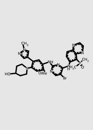 COc1cc(N2CCC(O)CC2)c(-c2cnn(C)c2)cc1Nc1ncc(Br)c(Nc2ccc3nccnc3c2P(C)(C)=O)n1